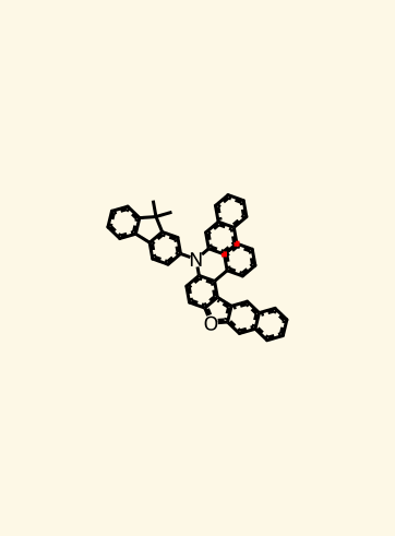 CC1(C)c2ccccc2-c2ccc(N(c3ccc4ccccc4c3)c3ccc4oc5cc6ccccc6cc5c4c3-c3ccccc3)cc21